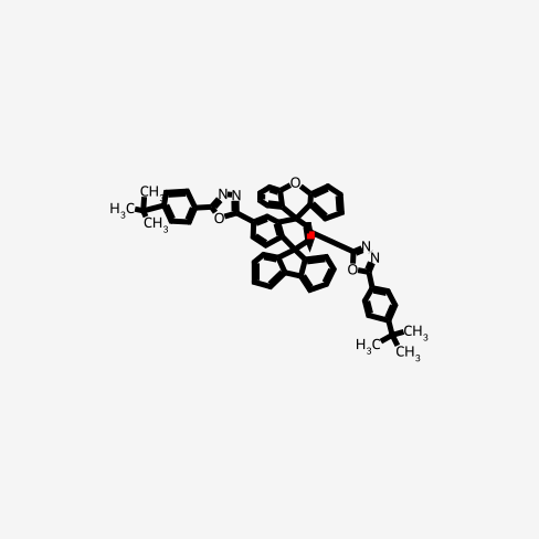 CC(C)(C)c1ccc(-c2nnc(-c3ccc4c(c3)C3(c5ccccc5Oc5ccccc53)c3ccc(-c5nnc(-c6ccc(C(C)(C)C)cc6)o5)cc3C43c4ccccc4-c4ccccc43)o2)cc1